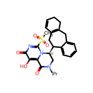 CC(C)N1C[C@H](C2CC3=C(CCC=C3)Cc3ccccc32)n2c(S(C)(=O)=O)nc(=O)c(O)c2C1=O